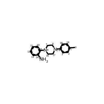 Cc1ccc(N2CCN(c3ccccc3N)CC2)cc1